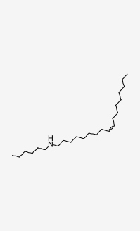 CCCCCCCC/C=C\CCCCCCCCNCCCCCC